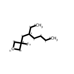 CCCCC(CC)CC1(F)COC1